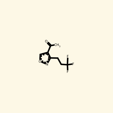 CC(=O)c1conc1CCC(F)(F)F